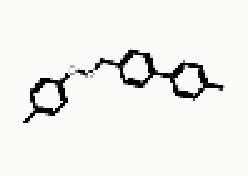 Cc1ccc(OOCc2ccc(-c3ccc(C)cc3)cc2)cc1